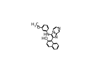 COc1cccc(Nc2c(-c3c(O)ccc4ccccc34)nc3cnccn23)c1